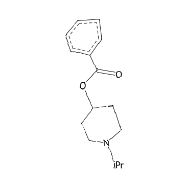 CC(C)N1CCC(OC(=O)c2ccccc2)CC1